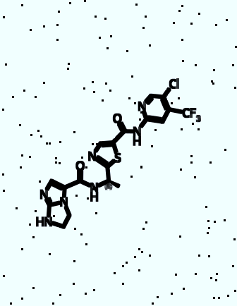 C[C@@H](NC(=O)c1cnc2n1CCN2)c1ncc(C(=O)Nc2cc(C(F)(F)F)c(Cl)cn2)s1